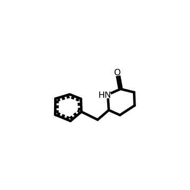 O=C1CCCC(Cc2ccccc2)N1